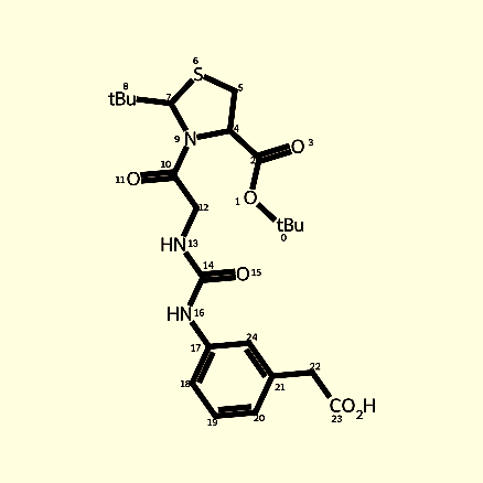 CC(C)(C)OC(=O)C1CSC(C(C)(C)C)N1C(=O)CNC(=O)Nc1cccc(CC(=O)O)c1